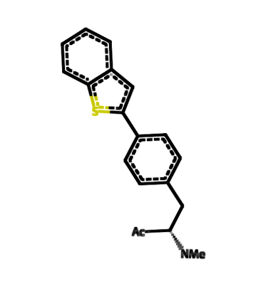 CN[C@@H](Cc1ccc(-c2cc3ccccc3s2)cc1)C(C)=O